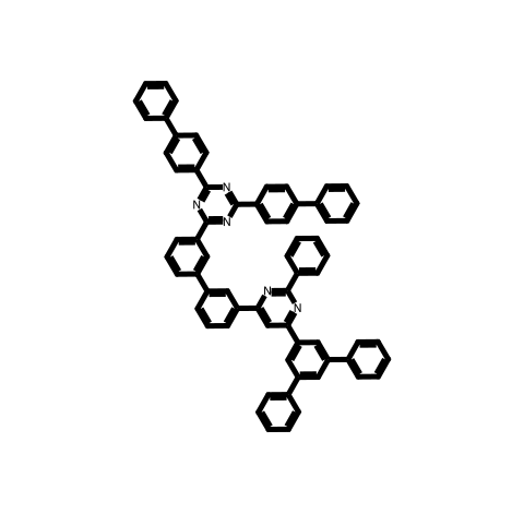 c1ccc(-c2ccc(-c3nc(-c4ccc(-c5ccccc5)cc4)nc(-c4cccc(-c5cccc(-c6cc(-c7cc(-c8ccccc8)cc(-c8ccccc8)c7)nc(-c7ccccc7)n6)c5)c4)n3)cc2)cc1